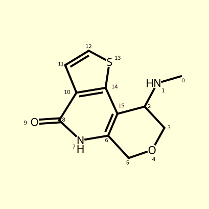 CNC1COCc2[nH]c(=O)c3ccsc3c21